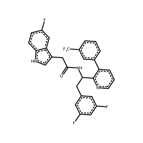 O=C(Cc1c[nH]c2ccc(F)cc12)NC(Cc1cc(F)cc(F)c1)c1ncccc1-c1cccc(C(F)(F)F)c1